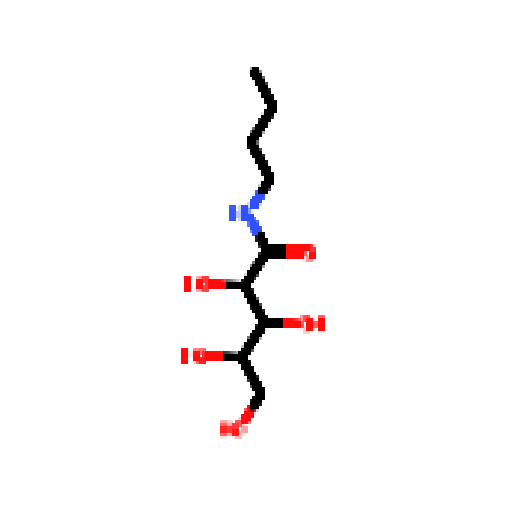 CCCCNC(=O)C(O)C(O)C(O)CO